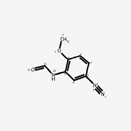 COc1ccc([N+]#N)cc1NC=O